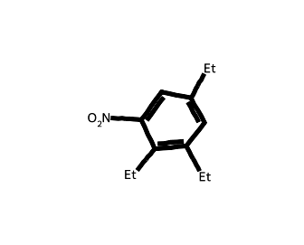 CCc1cc(CC)c(CC)c([N+](=O)[O-])c1